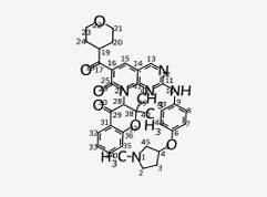 CN1CCC(Oc2ccc(Nc3ncc4cc(C(=O)C5CCOCC5)c(=O)n(C5C(=O)c6ccccc6OC5(C)C)c4n3)cc2)C1